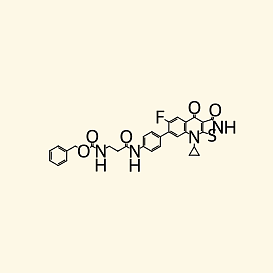 O=C(CCNC(=O)OCc1ccccc1)Nc1ccc(-c2cc3c(cc2F)c(=O)c2c(=O)[nH]sc2n3C2CC2)cc1